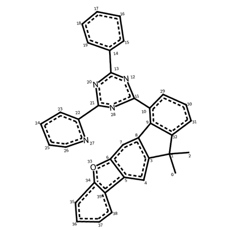 CC1(C)c2cc3c(cc2-c2c(-c4nc(-c5ccccc5)nc(-c5ccccn5)n4)cccc21)oc1ccccc13